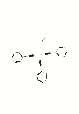 CCCCO[Si](C#Cc1ccccc1)(C#Cc1ccccc1)C#Cc1ccccc1